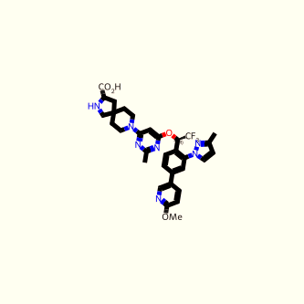 COc1ccc(-c2ccc([C@@H](Oc3cc(N4CCC5(CC4)CNC(C(=O)O)C5)nc(C)n3)C(F)(F)F)c(-n3ccc(C)n3)c2)cn1